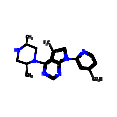 C[C@@H]1CN(c2ncnc3c2c(C(F)(F)F)cn3-c2cc(C(=O)O)ccn2)[C@H](C)CN1